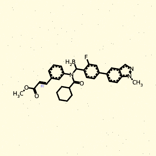 BC(c1ccc(-c2ccc3c(cnn3C)c2)cc1F)N(C(=O)C1CCCCC1)c1cccc(/C=C/C(=O)OC)c1